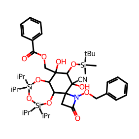 CC(C)[Si]1(C(C)C)OC2C(O[Si](C(C)C)(C(C)C)O1)C1(CC(=O)N1OCc1ccccc1)C(O)(C#N)C(O[Si](C)(C)C(C)(C)C)C2(O)COC(=O)c1ccccc1